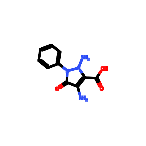 Nc1c(C(=O)O)n(N)n(-c2ccccc2)c1=O